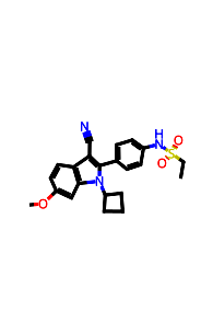 CCS(=O)(=O)Nc1ccc(-c2c(C#N)c3ccc(OC)cc3n2C2CCC2)cc1